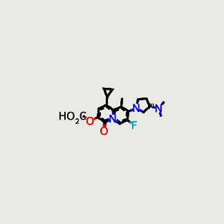 Cc1c(N2CC[C@@H](N(C)C)C2)c(F)cn2c(=O)c(OC(=O)O)cc(C3CC3)c12